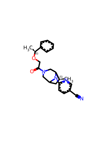 C[C@H](OCC(=O)N1CC2C[C@H](C)C(C1)N2c1ccc(C#N)cn1)c1ccccc1